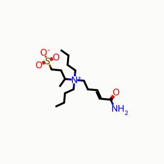 CCCC[N+](CCC=CC(N)=O)(CCCC)C(C)CCS(=O)(=O)[O-]